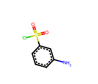 Nc1[c]ccc(S(=O)(=O)Cl)c1